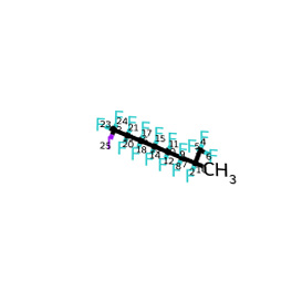 CC(F)(C(F)(F)F)C(F)(F)C(F)(F)C(F)(F)C(F)(F)C(F)(F)C(F)(F)I